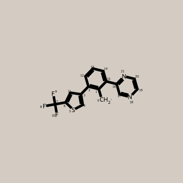 [CH2]c1c(-c2csc(C(F)(F)F)c2)cccc1-c1cnccn1